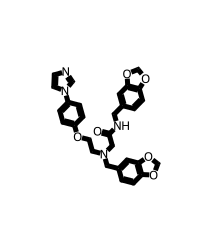 O=C(CN(CCOc1ccc(-n2ccnc2)cc1)Cc1ccc2c(c1)OCO2)NCc1ccc2c(c1)OCO2